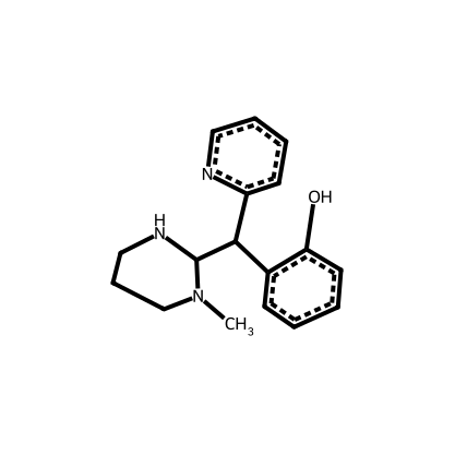 CN1CCCNC1C(c1ccccn1)c1ccccc1O